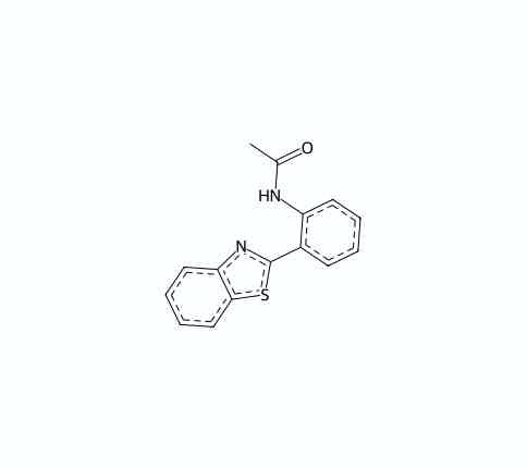 CC(=O)Nc1ccccc1-c1nc2ccccc2s1